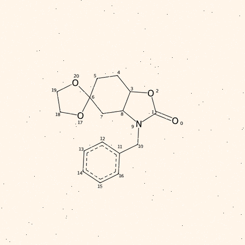 O=C1OC2CCC3(CC2N1Cc1ccccc1)OCCO3